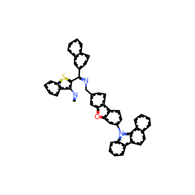 C=Nc1c(/C(=N\Cc2ccc3c(c2)oc2cc(-n4c5ccccc5c5ccc6ccccc6c54)ccc23)c2ccc3ccccc3c2)sc2ccccc12